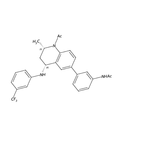 CC(=O)Nc1cccc(-c2ccc3c(c2)[C@H](Nc2cccc(C(F)(F)F)c2)C[C@H](C)N3C(C)=O)c1